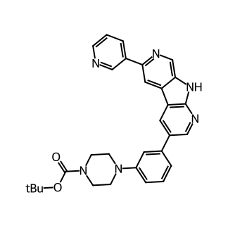 CC(C)(C)OC(=O)N1CCN(c2cccc(-c3cnc4[nH]c5cnc(-c6cccnc6)cc5c4c3)c2)CC1